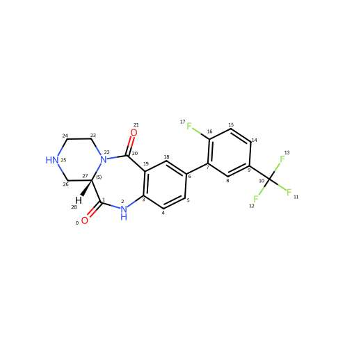 O=C1Nc2ccc(-c3cc(C(F)(F)F)ccc3F)cc2C(=O)N2CCNC[C@@H]12